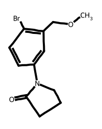 COCc1cc(N2CCCC2=O)ccc1Br